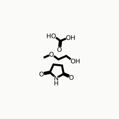 COCCO.O=C(O)O.O=C1CCC(=O)N1